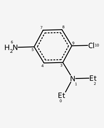 CCN(CC)c1cc(N)ccc1Cl